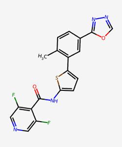 Cc1ccc(-c2nnco2)cc1-c1ccc(NC(=O)c2c(F)cncc2F)s1